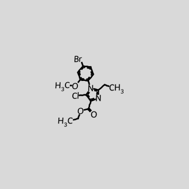 CCOC(=O)c1nc(CC)n(-c2ccc(Br)cc2OC)c1Cl